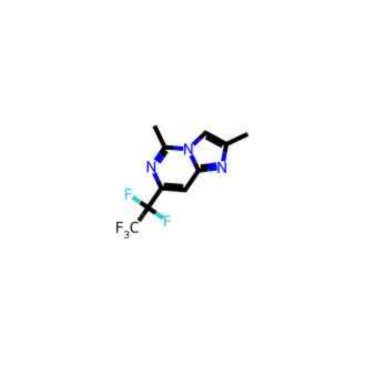 Cc1cn2c(C)nc(C(F)(F)C(F)(F)F)cc2n1